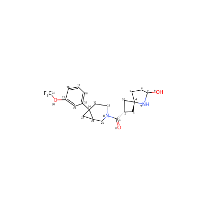 O=C([C@H]1C[C@]2(CCC(O)N2)C1)N1CCC2(c3cccc(OC(F)(F)F)c3)CC2C1